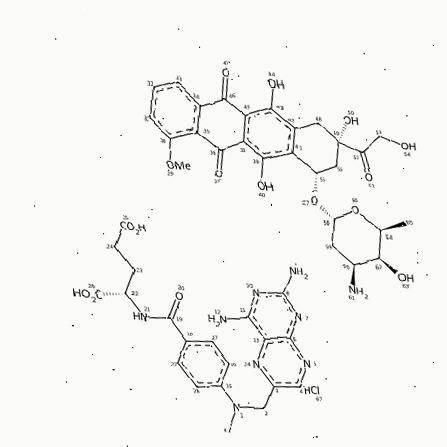 CN(Cc1cnc2nc(N)nc(N)c2n1)c1ccc(C(=O)N[C@@H](CCC(=O)O)C(=O)O)cc1.COc1cccc2c1C(=O)c1c(O)c3c(c(O)c1C2=O)C[C@@](O)(C(=O)CO)C[C@@H]3O[C@H]1C[C@H](N)[C@H](O)[C@H](C)O1.Cl